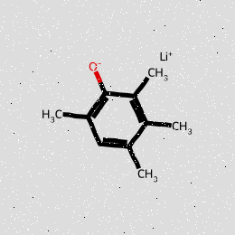 Cc1cc(C)c([O-])c(C)c1C.[Li+]